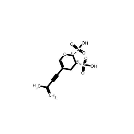 C=C(C)C#CC1=CO[C@H](S(=O)(=O)O)[C@H](S(=O)(=O)O)C1